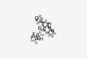 O=C([C@H]1C[C@H](NC2(C(F)(F)F)CC2)C1)N1Cc2cccnc2Nc2ccc(N3CCOCC3)cc21